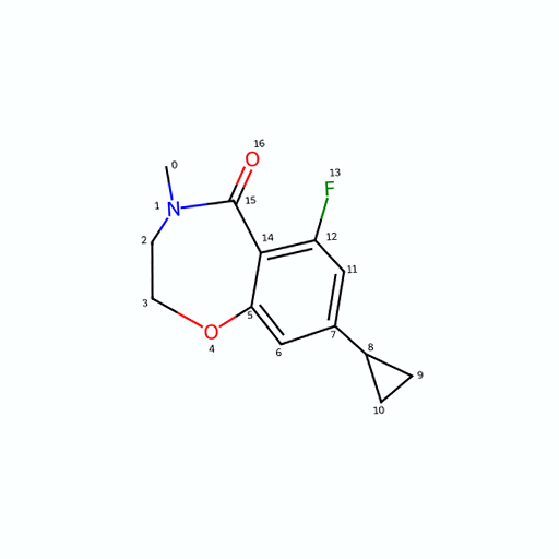 CN1CCOc2cc(C3CC3)cc(F)c2C1=O